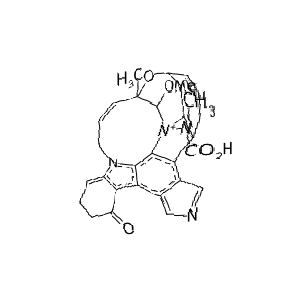 COC1C2(C)/C=C\Cn3c4c(c5c6c(c7c(c53)[N+]1(N(C)C(=O)O)C1=C7C=CC(C1)O2)C=NC=6)C(=O)CCC=4